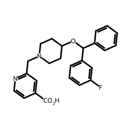 O=C(O)c1ccnc(CN2CCC(OC(c3ccccc3)c3cccc(F)c3)CC2)c1